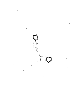 O=C(O)C(CSCCNS(=O)(=O)c1ccc(Cl)cc1)Oc1ccccc1